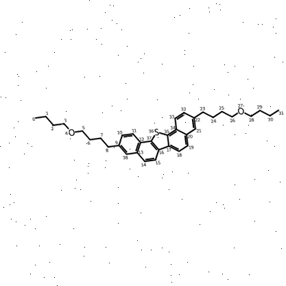 CCCCOCCCCc1ccc2c(ccc3c4ccc5cc(CCCCOCCCC)ccc5c4sc23)c1